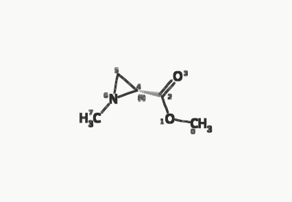 COC(=O)[C@H]1CN1C